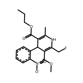 CCCOC(=O)C1=C(C)NC(CF)=C(C(=O)OC)C1c1ccccc1[N+](=O)[O-]